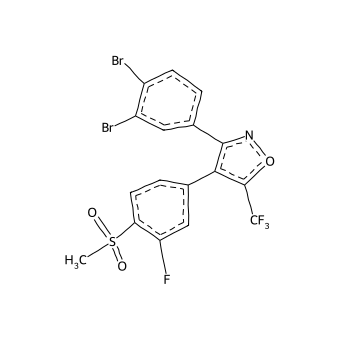 CS(=O)(=O)c1ccc(-c2c(-c3ccc(Br)c(Br)c3)noc2C(F)(F)F)cc1F